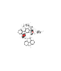 O=S(=O)([O-])c1ccccc1-c1c(S(=O)(=O)[O-])c(S(=O)(=O)[O-])c(S(=O)(=O)[O-])c2c1S(=O)(=O)OC(c1ccccc1)C(c1ccccc1)OS2(=O)=O.[Na+].[Na+].[Na+].[Na+]